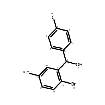 OC(c1ccc(Cl)cc1)c1cc(F)ccc1Br